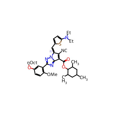 [C-]#[N+]c1c(C(=O)OC2C(C)CC(C)CC2C)c2nc(-c3cc(OCCCCCCCC)ccc3OC)nn2/c1=C/c1ccc(N(CC)CC)s1